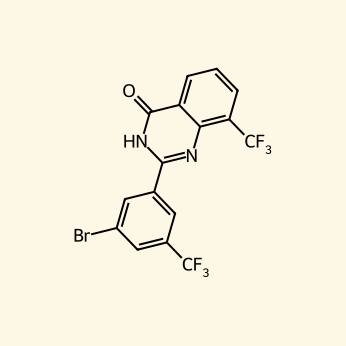 O=c1[nH]c(-c2cc(Br)cc(C(F)(F)F)c2)nc2c(C(F)(F)F)cccc12